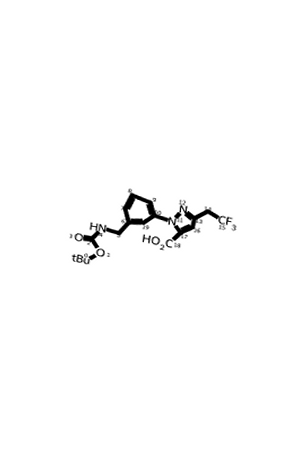 CC(C)(C)OC(=O)NCc1cccc(-n2nc(CC(F)(F)F)cc2C(=O)O)c1